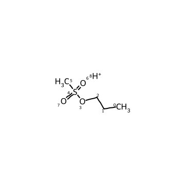 CCCOS(C)(=O)=O.[H+]